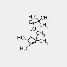 CC1=CC(C)(C)[C@@H](COC(=O)C(C)(C)C)[C@H]1O